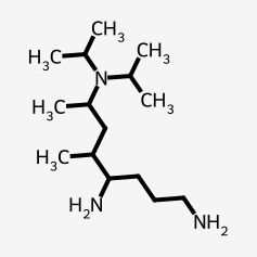 CC(CC(C)N(C(C)C)C(C)C)C(N)CCCN